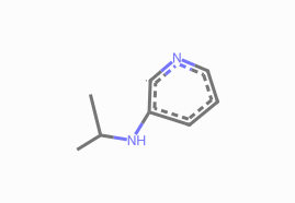 CC(C)Nc1[c]nccc1